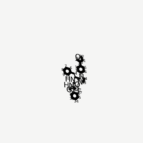 O=C(N[C@@H](Cc1ccccc1)c1nccn1-c1ccc(-c2ccoc2)cc1)NS(=O)(=O)c1ccccc1F